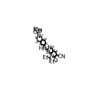 CCC(CC)n1c(=O)c(C#N)cc2cnc(Nc3ccc4c(c3)CCN(C(=O)OC(C)(C)C)C4)nc21